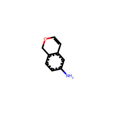 Nc1ccc2c(c1)C=COC2